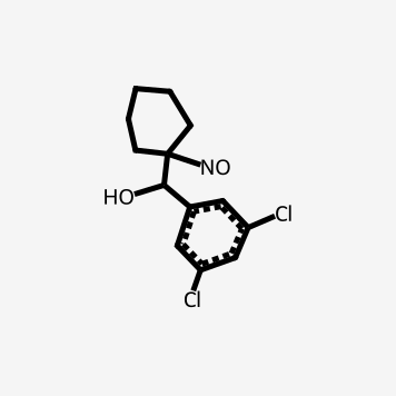 O=NC1(C(O)c2cc(Cl)cc(Cl)c2)CCCCC1